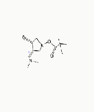 CN(C)/C=C1\CN(OC(=O)C(C)(C)C)CC1=O